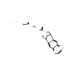 CCCCCCCCCCCC(=O)OCOC(=O)N1CC2CC(C1)c1cc3nccnc3cc12